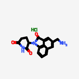 Cl.NCc1cc2c3c(cccc3c1)N(C1CCC(=O)NC1=O)C2=O